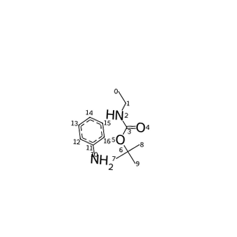 CCNC(=O)OC(C)(C)C.Nc1ccccc1